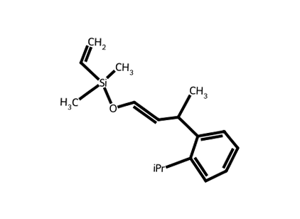 C=C[Si](C)(C)OC=CC(C)c1ccccc1C(C)C